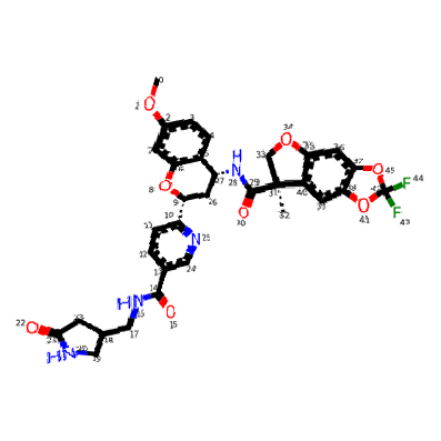 COc1ccc2c(c1)O[C@@H](c1ccc(C(=O)NCC3CNC(=O)C3)cn1)C[C@H]2NC(=O)[C@@]1(C)COc2cc3c(cc21)OC(F)(F)O3